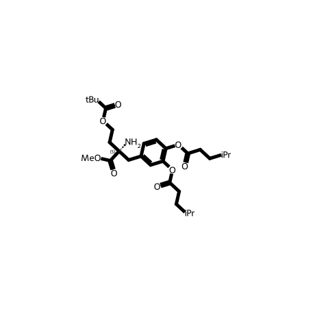 COC(=O)[C@@](N)(CCOC(=O)C(C)(C)C)Cc1ccc(OC(=O)CCC(C)C)c(OC(=O)CCC(C)C)c1